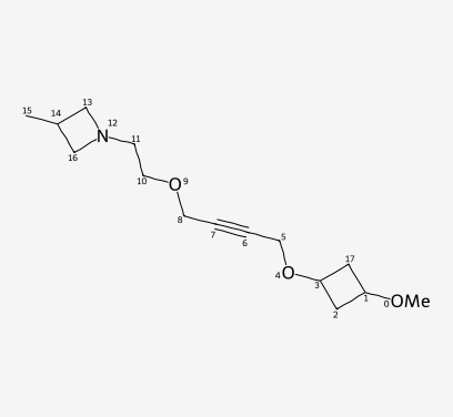 COC1CC(OCC#CCOCCN2CC(C)C2)C1